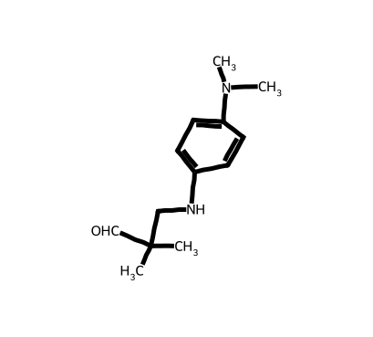 CN(C)c1ccc(NCC(C)(C)C=O)cc1